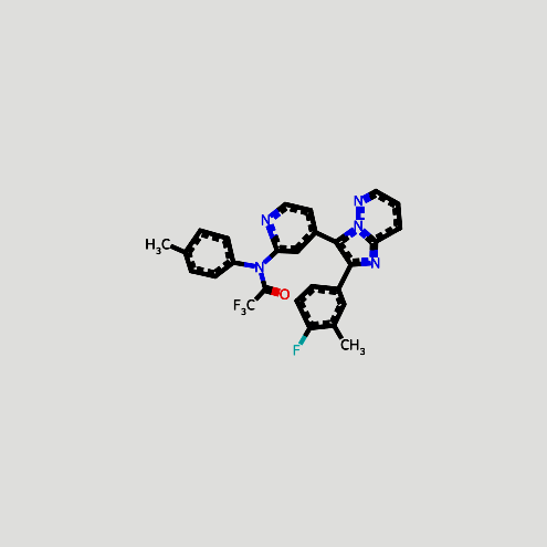 Cc1ccc(N(C(=O)C(F)(F)F)c2cc(-c3c(-c4ccc(F)c(C)c4)nc4cccnn34)ccn2)cc1